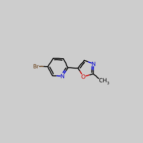 Cc1ncc(-c2ccc(Br)cn2)o1